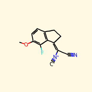 [C-]#[N+]/C(C#N)=C1/CCc2ccc(OC)c(F)c21